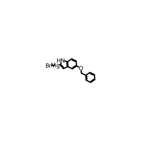 [Br][Mg][c]1cc2cc(OCc3ccccc3)ccc2[nH]1